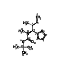 C=C[C@@H](C)[C@@H](c1ccco1)N(C)C(=O)OC(C)(C)C